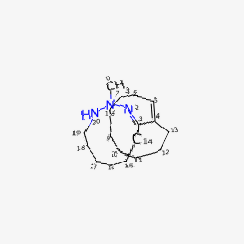 CN1/N=C(/C2=C\CCCCCCCC2)CCCCCCN1